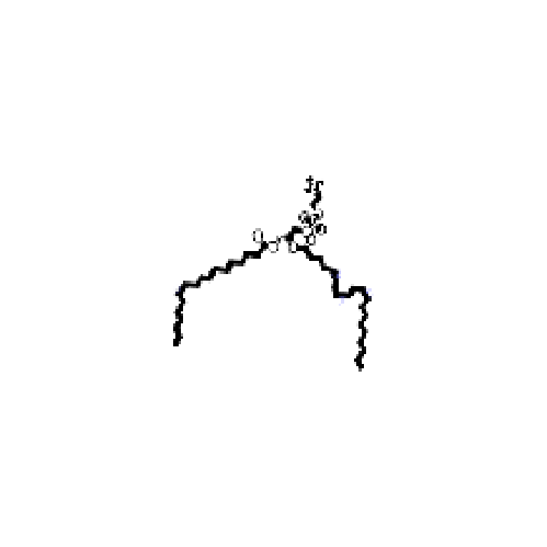 CCCCCC/C=C\CCCCCCCCCC(=O)OC[C@H](COP(=O)([O-])OCC[N+](C)(C)C)OC(=O)CCC/C=C\C/C=C\C/C=C\CCCCCCCC